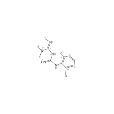 C/N=C(/NC(=N)Nc1c(C)cccc1C)N(C)C